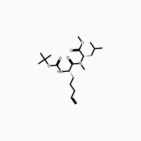 C=CCCC[C@H](NC(=O)OC(C)(C)C)C(=O)N(C)[C@@H](CC(C)C)C(=O)OC